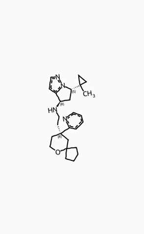 CC1([C@@H]2C[C@@H](NCC[C@@]3(c4ccccn4)CCOC4(CCCC4)C3)c3ccnn32)CC1